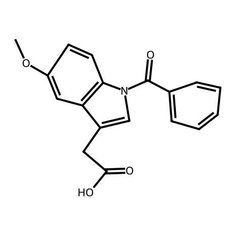 COc1ccc2c(c1)c(CC(=O)O)cn2C(=O)c1ccccc1